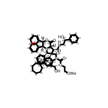 COCCOC(=O)N1C(=O)[C@@]2(c3cc(C4(O)CCCCCC4)ccc31)[C@H](C(=O)NC[C@H](O)c1ccccc1)[C@H]1C(=O)O[C@@H]3C4=CC=CCC45CC=CC=C5[C@@H]3N1[C@@H]2c1ccccc1OCCO